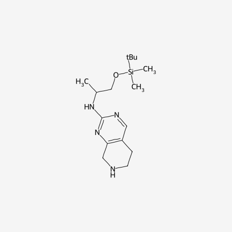 CC(CO[Si](C)(C)C(C)(C)C)Nc1ncc2c(n1)CNCC2